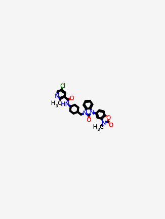 Cc1ncc(Cl)cc1C(=O)NC1CCC(Cn2c(=O)n(-c3ccc4oc(=O)n(C)c4c3)c3ccccc32)CC1